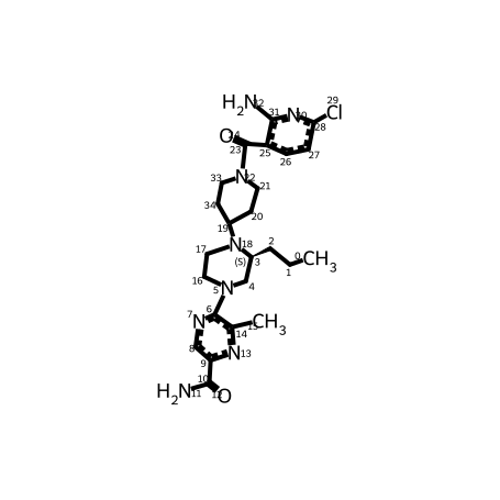 CCC[C@H]1CN(c2ncc(C(N)=O)nc2C)CCN1C1CCN(C(=O)c2ccc(Cl)nc2N)CC1